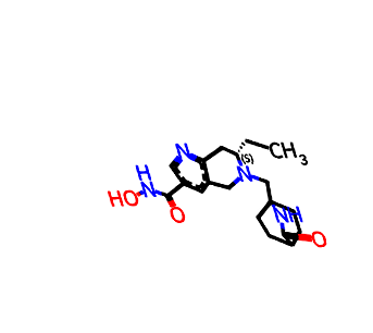 CC[C@H]1Cc2ncc(C(=O)NO)cc2CN1CC12CCC(CC1)C(=O)N2